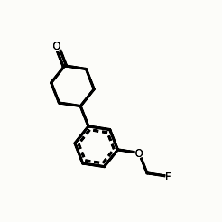 O=C1CCC(c2cccc(OCF)c2)CC1